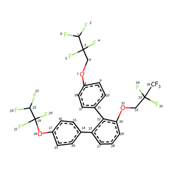 FC(F)C(F)(F)COc1ccc(-c2c(-c3ccc(OC(F)(F)C(F)F)cc3)[c]ccc2OCC(F)(F)C(F)(F)F)cc1